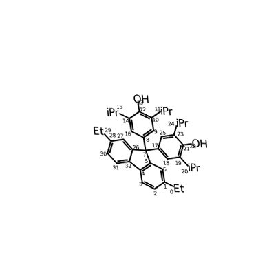 CCc1ccc2c(c1)C(c1cc(C(C)C)c(O)c(C(C)C)c1)(c1cc(C(C)C)c(O)c(C(C)C)c1)c1cc(CC)ccc1-2